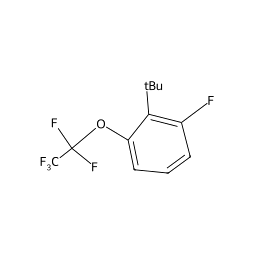 CC(C)(C)c1c(F)cccc1OC(F)(F)C(F)(F)F